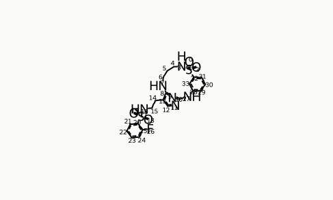 O=S1(=O)NCCCNc2nc(ncc2CCNS(=O)(=O)c2ccccc2F)Nc2cccc1c2